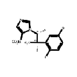 CCOC(=O)c1cncn1[C@H](C)[C@](C)(N)c1cc(Br)ccc1F